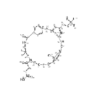 CC1(C)CNC(=O)c2ccc(cc2)Nc2nc(nc(OCC(F)(F)F)n2)NCc2ccc(c(Cl)c2)OCCCN(C(=O)CCC(=O)O)C1